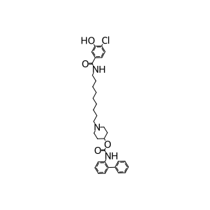 O=C(Nc1ccccc1-c1ccccc1)OC1CCN(CCCCCCCCCNC(=O)c2ccc(Cl)c(O)c2)CC1